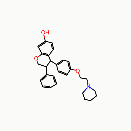 Oc1ccc2c(c1)OCC(c1ccccc1)C2c1ccc(OCCN2CCCCC2)cc1